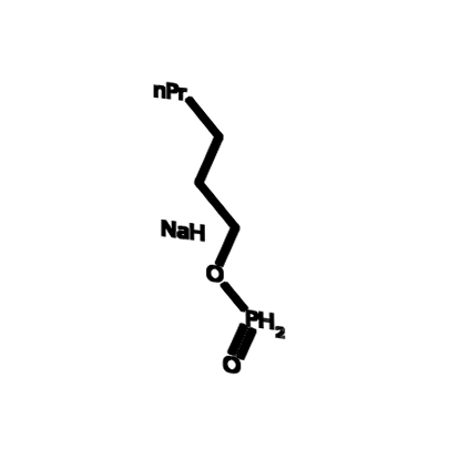 CCCCCCO[PH2]=O.[NaH]